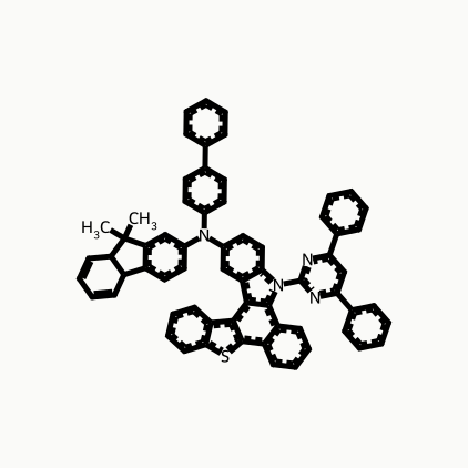 CC1(C)c2cc(N(c3ccc(-c4ccccc4)cc3)c3ccc4c(c3)c3c5c6ccccc6sc5c5ccccc5c3n4-c3nc(-c4ccccc4)cc(-c4ccccc4)n3)ccc2C2C=CC=CC21